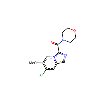 COc1cn2c(C(=O)N3CCOCC3)ncc2cc1Br